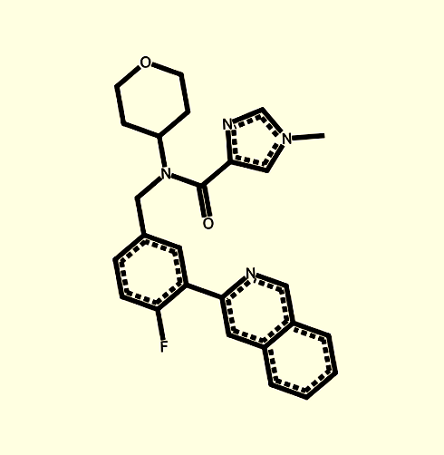 Cn1cnc(C(=O)N(Cc2ccc(F)c(-c3cc4ccccc4cn3)c2)C2CCOCC2)c1